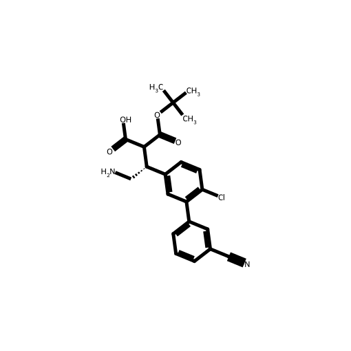 CC(C)(C)OC(=O)C(C(=O)O)[C@@H](CN)c1ccc(Cl)c(-c2cccc(C#N)c2)c1